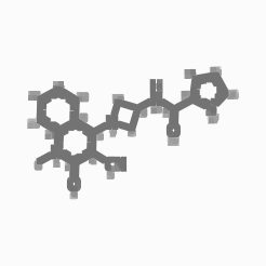 Cn1c(=O)c(C#N)c(N2CC(NC(=O)c3cccs3)C2)c2ccccc21